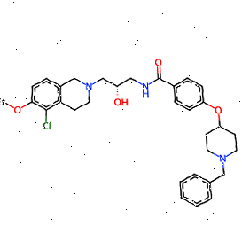 CCOc1ccc2c(c1Cl)CCN(C[C@@H](O)CNC(=O)c1ccc(OC3CCN(Cc4ccccc4)CC3)cc1)C2